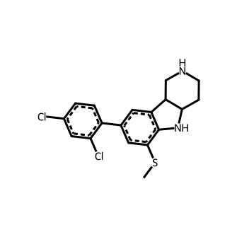 CSc1cc(-c2ccc(Cl)cc2Cl)cc2c1NC1CCNCC21